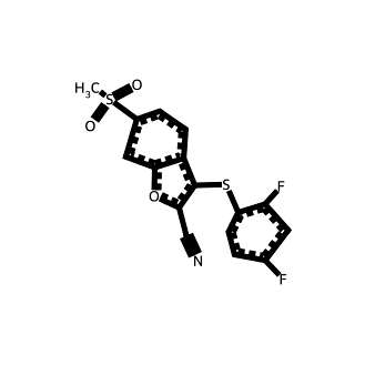 CS(=O)(=O)c1ccc2c(Sc3ccc(F)cc3F)c(C#N)oc2c1